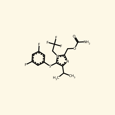 CC(C)c1nc(COC(N)=O)n(CC(F)(F)F)c1Sc1cc(F)cc(F)c1